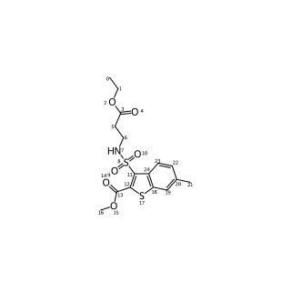 CCOC(=O)CCNS(=O)(=O)c1c(C(=O)OC)sc2cc(C)ccc12